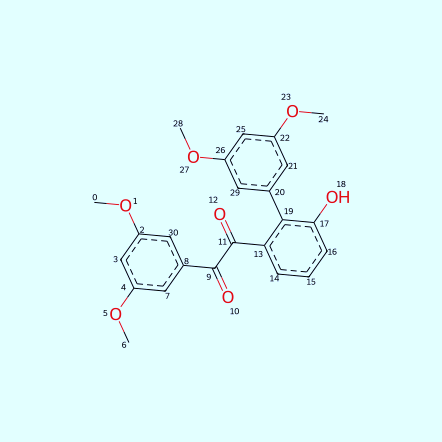 COc1cc(OC)cc(C(=O)C(=O)c2cccc(O)c2-c2cc(OC)cc(OC)c2)c1